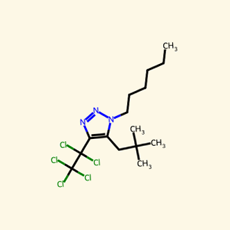 CCCCCCn1nnc(C(Cl)(Cl)C(Cl)(Cl)Cl)c1CC(C)(C)C